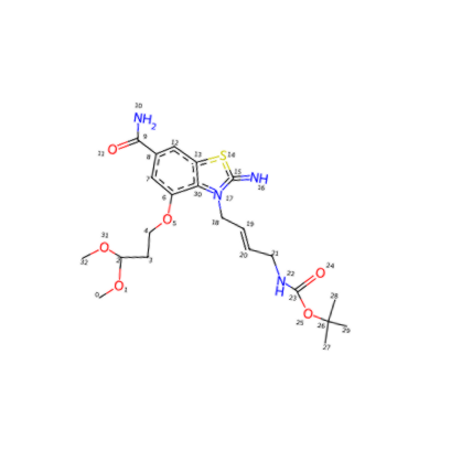 COC(CCOc1cc(C(N)=O)cc2sc(=N)n(C/C=C/CNC(=O)OC(C)(C)C)c12)OC